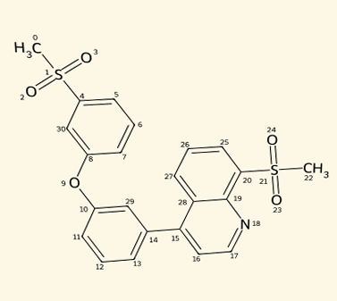 CS(=O)(=O)c1cccc(Oc2cccc(-c3ccnc4c(S(C)(=O)=O)cccc34)c2)c1